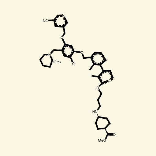 COC(=O)[C@H]1CC[C@H](NCCCOc2cccc(-c3cccc(COc4cc(OCc5cncc(C#N)c5)c(CN5CCCC[C@H]5C)cc4Cl)c3C)c2C)CC1